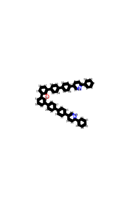 c1ccc(-c2ccc(-c3ccc(-c4ccc(-c5cccc6c5oc5c(-c7ccc(-c8ccc(-c9ccc(-c%10ccccc%10)nc9)cc8)cc7)cccc56)cc4)cc3)cn2)cc1